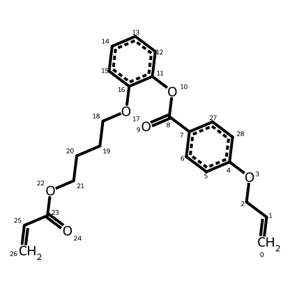 C=CCOc1ccc(C(=O)Oc2ccccc2OCCCCOC(=O)C=C)cc1